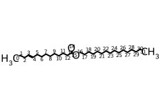 CCCC=CCCCCCCCCC(=O)OCCCCCCCCCCCCCCCC